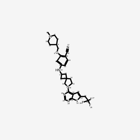 CN1CCC(COc2cc(NC3CC4(CCN(c5ncnc6sc(CC(F)(F)F)cc56)C4)C3)ccc2C#N)CC1